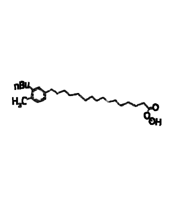 CCCCc1cc(CCCCCCCCCCCCCCCC(=O)OO)ccc1C